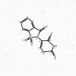 O=C1c2ccccc2S(=O)(=O)N1c1c[nH]c(=S)[nH]c1=O